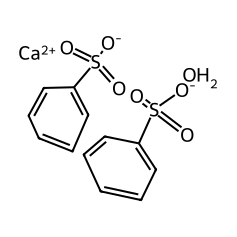 O.O=S(=O)([O-])c1ccccc1.O=S(=O)([O-])c1ccccc1.[Ca+2]